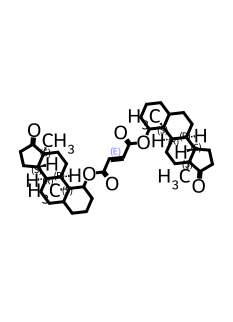 C[C@@]12C(CCCC1OC(=O)/C=C/C(=O)OC1CCCC3CC[C@@H]4[C@@H](CC[C@]5(C)C(=O)CC[C@@H]45)[C@]31C)CC[C@@H]1[C@H]2CC[C@]2(C)C(=O)CC[C@@H]12